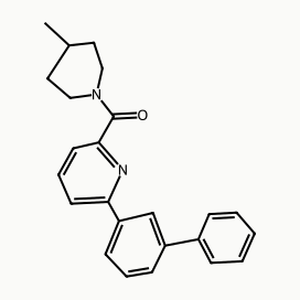 CC1CCN(C(=O)c2cccc(-c3cccc(-c4ccccc4)c3)n2)CC1